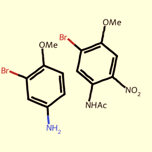 COc1cc([N+](=O)[O-])c(NC(C)=O)cc1Br.COc1ccc(N)cc1Br